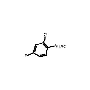 CC(=O)Nc1ccc(F)cc1Cl